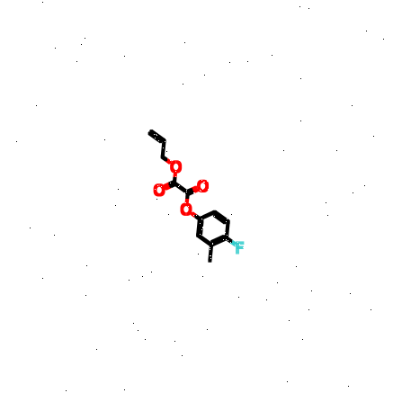 C=CCOC(=O)C(=O)Oc1ccc(F)c(C)c1